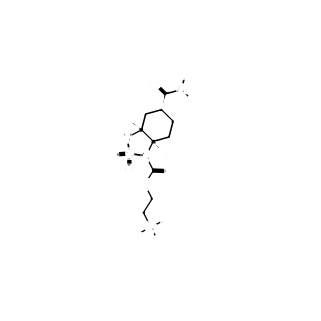 CN(C)C(=O)[C@H]1CC[C@H]2[C@@H](C1)NS(=O)(=O)N2C(=O)OCC[Si](C)(C)C